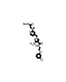 CNC(=O)CN(C)c1cc(Cn2cc(C(=O)NCCOc3cccc(Cl)c3)c(N)n2)ccn1